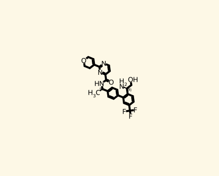 C[C@@H](NC(=O)c1ccnc(C2=CCOCC2)n1)c1ccc(-c2cc(C(F)(F)F)ccc2[C@@H](N)CO)cc1